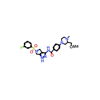 COCC1CN(c2ccc(C(=O)Nc3n[nH]c4c3CN(S(=O)(=O)c3cccc(F)c3)C4)cc2)CCN1C